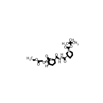 CCOC(=O)CON1C(=O)N2C[C@@H]1CC[C@@H]2C(=O)NNC(=O)[C@@H]1CCCN(C(=O)OC(C)(C)C)C1